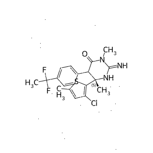 Cc1cc(Cl)c([C@@]2(C)NC(=N)N(C)C(=O)C2c2ccc(C(C)(F)F)cc2)s1